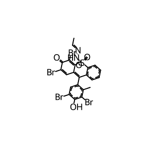 CC=NNS(=O)(=O)c1ccccc1/C(=C1/C=C(Br)C(=O)C(Br)=C1C)c1cc(Br)c(O)c(Br)c1C